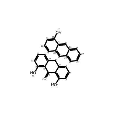 O=C1c2c(O)cccc2Cc2cccc(O)c21.Oc1cccc2cc3ccccc3cc12